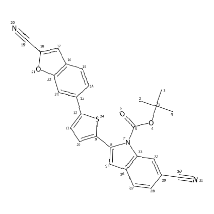 CC(C)(C)OC(=O)n1c(-c2ccc(-c3ccc4cc(C#N)oc4c3)s2)cc2ccc(C#N)cc21